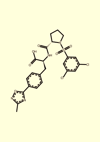 Cc1noc(-c2ccc(C[C@H](NC(=O)[C@@H]3CCCN3S(=O)(=O)c3cc(Cl)cc(Cl)c3)C(=O)O)cc2)n1